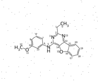 CCc1nc(Nc2cccc(OC)c2)c2oc3ccccc3c2n1